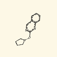 c1ccc2nc(ON3CCCC3)ncc2c1